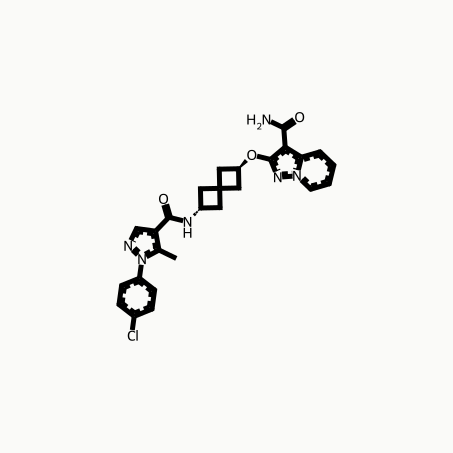 Cc1c(C(=O)N[C@H]2CC3(C2)C[C@H](Oc2nn4ccccc4c2C(N)=O)C3)cnn1-c1ccc(Cl)cc1